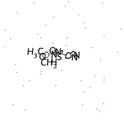 CC1CC(C(=O)Nc2ncc(-c3ccc4nnccc4c3)s2)CC(C)O1